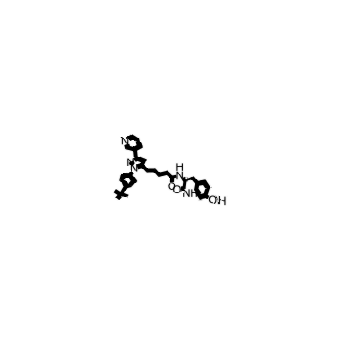 CC(C)(C)c1ccc(-n2nc(-c3cccnc3)cc2CCCCC(=O)N[C@@H](Cc2ccc(O)cc2)C(N)=O)cc1